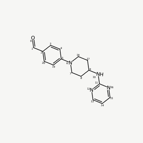 O=Cc1ccc(N2CCC(Nc3ncccn3)CC2)cc1